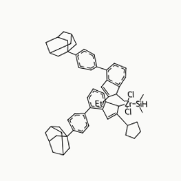 CCC1=Cc2c(-c3ccc(C45CC6CC(CC(C6)C4)C5)cc3)cccc2[CH]1[Zr]([Cl])([Cl])([CH]1C(C2CCCC2)=Cc2c(-c3ccc(C45CC6CC(CC(C6)C4)C5)cc3)cccc21)[SiH](C)C